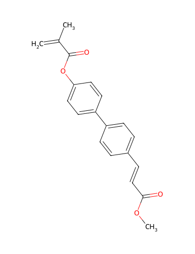 C=C(C)C(=O)Oc1ccc(-c2ccc(/C=C/C(=O)OC)cc2)cc1